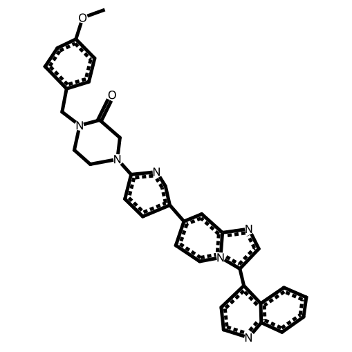 COc1ccc(CN2CCN(c3ccc(-c4ccn5c(-c6ccnc7ccccc67)cnc5c4)cn3)CC2=O)cc1